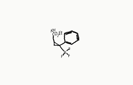 CCOC(=O)C1CC1(c1ccccc1)[B-](F)(F)F.[KH]